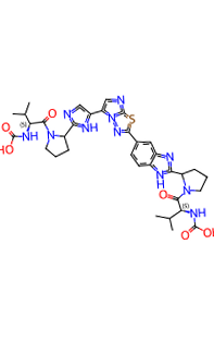 CC(C)[C@H](NC(=O)O)C(=O)N1CCCC1c1ncc(-c2cnc3sc(-c4ccc5[nH]c(C6CCCN6C(=O)[C@@H](NC(=O)O)C(C)C)nc5c4)nn23)[nH]1